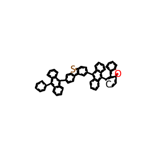 c1ccc(-c2c3ccccc3c(-c3ccc4c(c3)sc3ccc(-c5c6ccccc6c(-c6cccc7oc8ccccc8c67)c6ccccc56)cc34)c3ccccc23)cc1